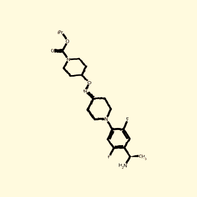 CC(C)OC(=O)N1CCC(ON=C2CCN(c3cc(F)c([C@@H](C)N)cc3F)CC2)CC1